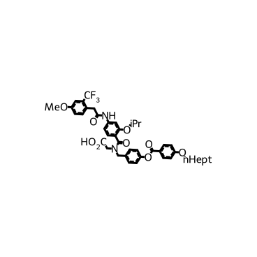 CCCCCCCOc1ccc(C(=O)Oc2ccc(CN(CC(=O)O)C(=O)c3ccc(NC(=O)Cc4ccc(OC)cc4C(F)(F)F)cc3OC(C)C)cc2)cc1